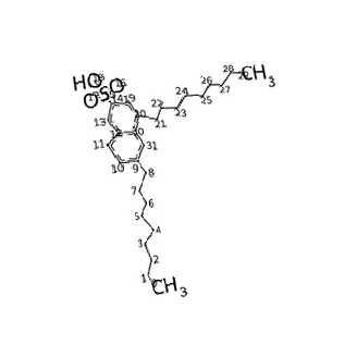 CCCCCCCCCc1ccc2cc(S(=O)(=O)O)cc(CCCCCCCCC)c2c1